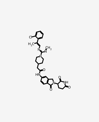 C=N/C(=N\C=C(/C)c1ccccc1Cl)N1CCC(CC(=O)Nc2ccc3c(c2)CN(C2CCC(=O)NC2=O)C3=O)CC1